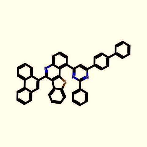 c1ccc(-c2ccc(-c3cc(-c4cccc5nc(-c6cc7ccccc7c7ccccc67)c6c7ccccc7sc6c45)nc(-c4ccccc4)n3)cc2)cc1